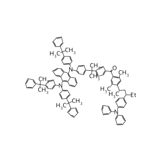 CCC(CC(C)c1cc(C)c(C(=O)c2ccc(C(C)(C)c3ccc(N(c4ccc(C(C)(C)c5ccccc5)cc4)c4c5ccccc5c(N(c5ccc(C(C)(C)c6ccccc6)cc5)c5ccc(C(C)(C)c6ccccc6)cc5)c5ccccc45)cc3)cc2)cc1C)c1ccc(N(c2ccccc2)c2ccccc2)cc1